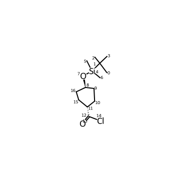 CC(C)(C)[Si](C)(C)O[C@H]1CC[C@H](C(=O)Cl)CC1